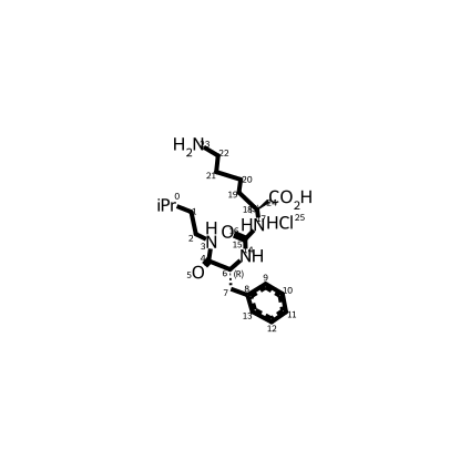 CC(C)CCNC(=O)[C@@H](Cc1ccccc1)NC(=O)N[C@@H](CCCCN)C(=O)O.Cl